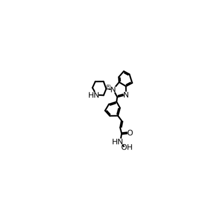 O=C(C=Cc1cccc(-c2nc3ccccc3n2[C@@H]2CCCNC2)c1)NO